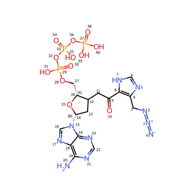 [N-]=[N+]=NCc1nc[nH]c1C(=O)CC1C[C@H](n2cnc3c(N)ncnc32)O[C@@H]1COP(=O)(O)OP(=O)(O)OP(=O)(O)O